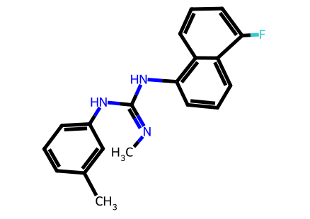 CN=C(Nc1cccc(C)c1)Nc1cccc2c(F)cccc12